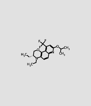 CC[C@@H]1COc2c(ccc3nc(OC(C)C)cc(C(F)(F)F)c23)N1CC